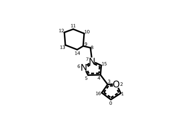 c1coc(-c2cnn(CC3CCCCC3)c2)c1